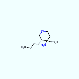 BCCC[C@@H]1CNCCC1(N)C(=O)O